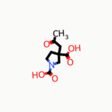 CC(=O)CC1(C(=O)O)CCN(C(=O)O)C1